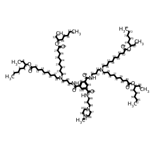 CCCCCC(CC)OC(=O)CCCCCCCCN(CCCCCCCCC(=O)OC(CC)CCCCC)CCCNC(=O)c1cc(C(=O)NCCCN(CCCCCCCCC(=O)OC(CC)CCCCC)CCCCCCCCC(=O)OC(CC)CCCCC)cc(C(=O)NCCCN2CCN(C)CC2)c1